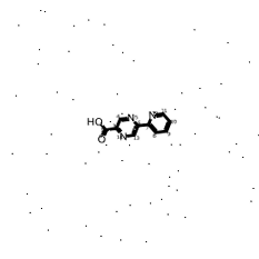 O=C(O)c1cnc(-c2ccccn2)cn1